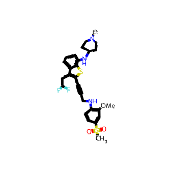 CCN1CCC(Nc2cccc3c(CC(F)F)c(C#CCNc4ccc(S(C)(=O)=O)cc4OC)sc23)CC1